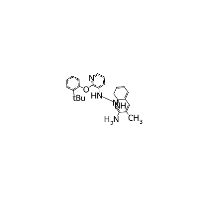 CC1=CC2=CC=CCC23CN(Nc2cccnc2Oc2ccccc2C(C)(C)C)NC3=C1N